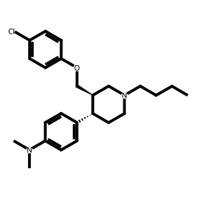 CCCCN1CC[C@H](c2ccc(N(C)C)cc2)[C@@H](COc2ccc(Cl)cc2)C1